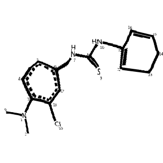 CN(C)c1ccc(NC(=S)NC2=CC[CH]C=C2)cc1Cl